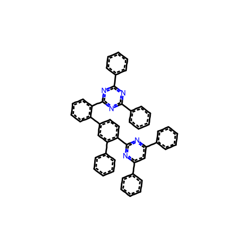 c1ccc(-c2cc(-c3ccccc3)nc(-c3ccc(-c4ccccc4-c4nc(-c5ccccc5)nc(-c5ccccc5)n4)cc3-c3ccccc3)n2)cc1